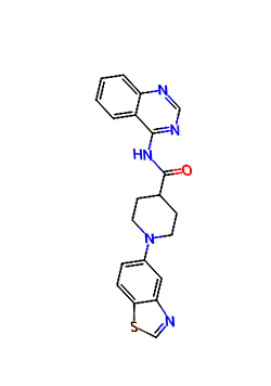 O=C(Nc1ncnc2ccccc12)C1CCN(c2ccc3scnc3c2)CC1